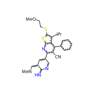 CN/C=C1/C=C(c2nc3sc(SCCOC)c(C(C)C)c3c(-c3ccccc3)c2C#N)C=NC1=N